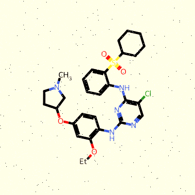 CCOc1cc(OC2CCN(C)C2)ccc1Nc1ncc(Cl)c(Nc2ccccc2S(=O)(=O)C2CCCCC2)n1